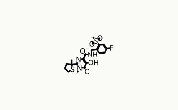 Cn1c(C2(C)CCCS2)nc(C(=O)NCc2ccc(F)cc2S(C)(=O)=O)c(O)c1=O